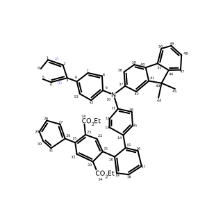 C/C=C\C(=C/C)c1ccc(N(c2ccc(-c3ccccc3-c3cc(C(=O)OCC)c(-c4ccccc4)cc3C(=O)OCC)cc2)c2ccc3c(c2)C(C)(C)c2ccccc2-3)cc1